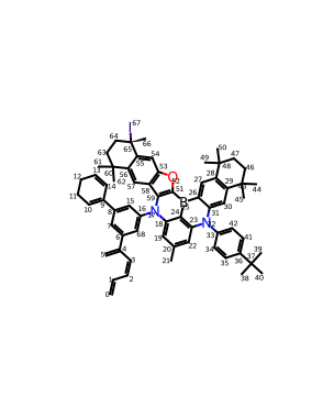 C=C/C=C\C(=C)c1cc(C2=CCCC=C2)cc(N2c3cc(C)cc4c3B(c3cc5c(cc3N4c3ccc(C(C)(C)C)cc3)C(C)(C)CCC5(C)C)c3oc4cc5c(cc4c32)C(C)(C)CC[C@]5(C)I)c1